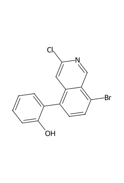 Oc1ccccc1-c1ccc(Br)c2cnc(Cl)cc12